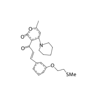 CSCCOc1cccc(C=CC(=O)c2c(N3CCCCC3)cc(C)oc2=O)c1